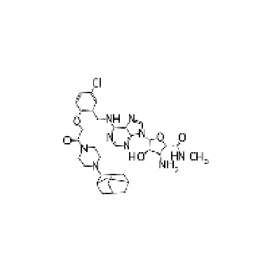 CNC(=O)[C@H]1O[C@@H](n2cnc3c(NCc4cc(Cl)ccc4OCC(=O)N4CCN(C5C6CC7CC(C6)CC5C7)CC4)ncnc32)[C@H](O)[C@@H]1N